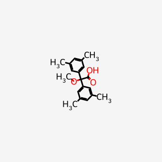 COC(C(=O)O)(c1cc(C)cc(C)c1)c1cc(C)cc(C)c1